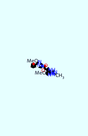 COc1nc2n(c1-c1ccccc1)CCN(C(=O)C(=O)c1c[nH]c3c(-n4cnc(C)n4)ncc(OC)c13)C2